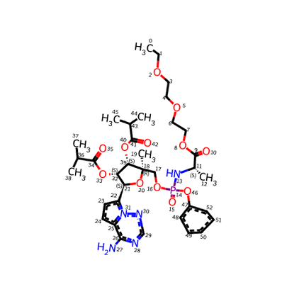 CCOCCOCCOC(=O)[C@H](C)NP(=O)(OC[C@@]1(C)O[C@@H](c2ccc3c(N)ncnn23)[C@H](OC(=O)C(C)C)[C@@H]1OC(=O)C(C)C)Oc1ccccc1